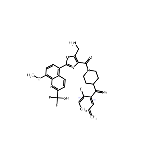 C=C/C=C(C(=N)C1CCN(C(=O)c2nc(-c3ccc(OC)c4nc(C(F)(F)S)ccc34)oc2CN)CC1)\C(F)=C/C